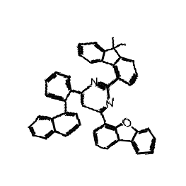 CC1(C)c2ccccc2-c2c(-c3nc(-c4ccccc4-c4cccc5ccccc45)cc(-c4cccc5c4oc4ccccc45)n3)cccc21